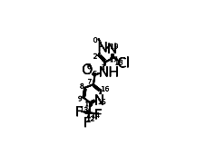 Cn1cc(NC(=O)c2ccc(C(F)(F)F)nc2)c(Cl)n1